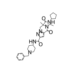 CCN1C(=O)c2cc(C(=O)NC3CCN(Cc4ccccc4)CC3)nn2CC1(C)C(=O)NC1CCCC1